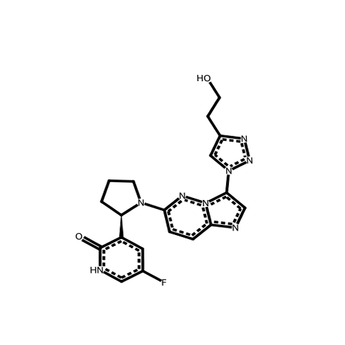 O=c1[nH]cc(F)cc1[C@H]1CCCN1c1ccc2ncc(-n3cc(CCO)nn3)n2n1